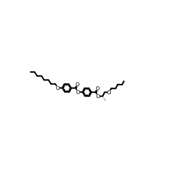 CCCCCCCCOc1ccc(C(=O)Oc2ccc(C(=O)O[C@@H](C)COCCCCC)cc2)cc1